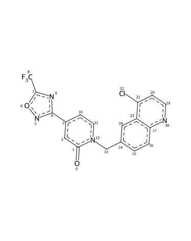 O=c1cc(-c2noc(C(F)(F)F)n2)ccn1Cc1ccc2nccc(Cl)c2c1